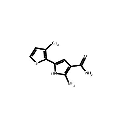 Cc1ccsc1-c1cc(C(N)=O)c(N)[nH]1